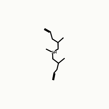 C=CCC(C)C[SiH](C)CC(C)CC=C